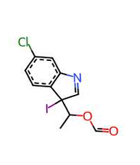 CC(OC=O)C1(I)C=Nc2cc(Cl)ccc21